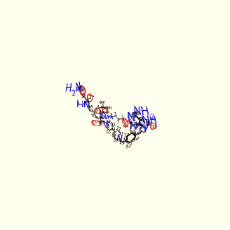 CCCCOc1nc(N)c2[nH]c(=O)n(Cc3ccc(CN4CCC(C5CCN(C(=O)[C@H](CCCCNC(=O)CON)NC(=O)OC(C)(C)C)CC5)CC4)cc3)c2n1